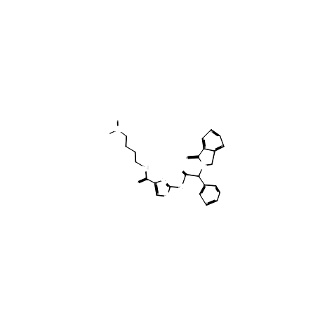 CN(C)CCCCNC(=O)c1csc(NC(=O)C(c2ccccc2)N2Cc3ccccc3C2=O)n1